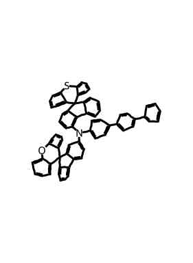 c1ccc(-c2ccc(-c3ccc(N(c4ccc5c(c4)C4(c6ccccc6Oc6ccccc64)c4ccccc4-5)c4cccc5c4-c4ccccc4C54c5ccccc5Sc5ccccc54)cc3)cc2)cc1